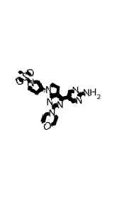 CS(=O)(=O)N1CC[C@@H](N2CCc3c(-c4cnc(N)nc4)nc(N4CCOCC4)nc32)C1